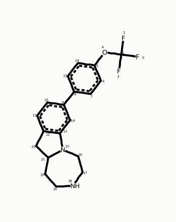 FC(F)(F)Oc1ccc(-c2ccc3c(c2)N2CCNCCC2C3)cc1